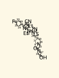 CCc1nc2sc(C3CCN(CC(=O)N4CC(O)C4)CC3)cn2c1N(CC)c1nc(-c2ccc(F)cc2)c(C#N)s1